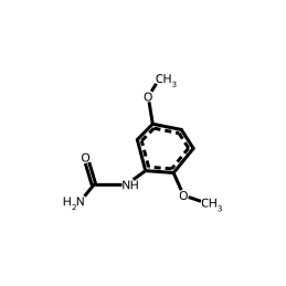 COc1ccc(OC)c(NC(N)=O)c1